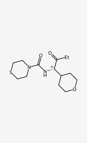 CCC(=O)[C@@H](NC(=O)N1CCSCC1)C1CCOCC1